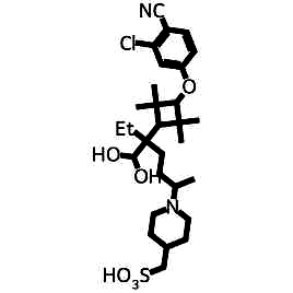 CCC(CCC(C)N1CCC(CS(=O)(=O)O)CC1)(C(O)O)C1C(C)(C)C(Oc2ccc(C#N)c(Cl)c2)C1(C)C